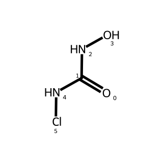 O=C(NO)NCl